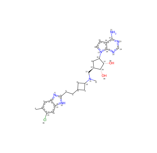 Cc1cc2nc(CCC3CC(N(C)C[C@H]4CC(n5ccc6c(N)ncnc65)[C@H](O)[C@@H]4O)C3)[nH]c2cc1Cl